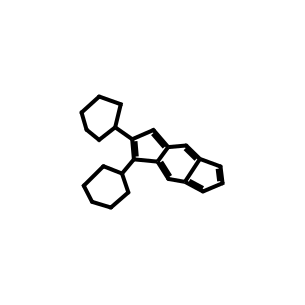 C1=Cc2cc3c(cc2=C1)C(C1CCCCC1)=C(C1CCCCC1)C=3